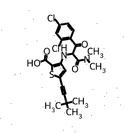 CN(C)C(=O)C(Nc1cc(C#CC(C)(C)C)sc1C(=O)O)C(=O)c1ccc(Cl)cc1Cl